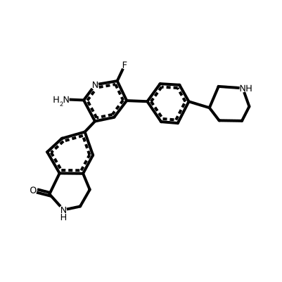 Nc1nc(F)c(-c2ccc(C3CCCNC3)cc2)cc1-c1ccc2c(c1)CCNC2=O